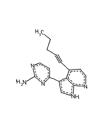 CCCC#Cc1ccnc2[nH]cc(-c3ccnc(N)n3)c12